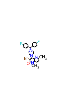 Cc1ccc2c(n1)c(N1CCN(C(c3ccc(F)cc3)c3ccc(F)cc3)CC1)c(Br)c(=O)n2C